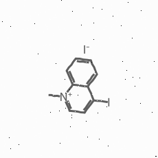 C[n+]1ccc(I)c2ccccc21.[I-]